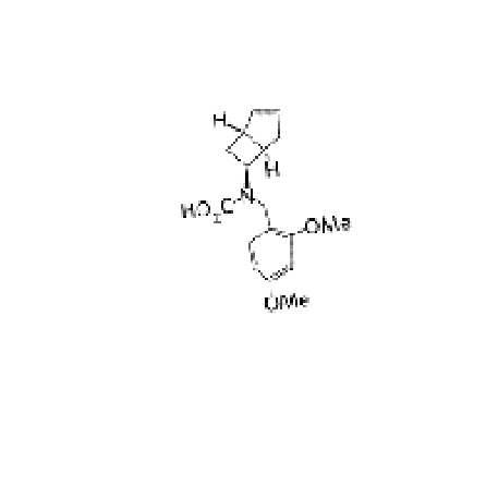 COc1ccc(CN(C(=O)O)[C@H]2C[C@@H]3C=CC[C@H]32)c(OC)c1